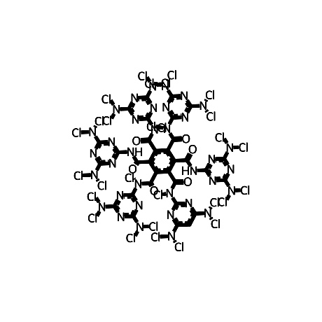 O=C(Nc1nc(N(Cl)Cl)nc(N(Cl)Cl)n1)c1c(C(=O)N(Cl)c2nc(N(Cl)Cl)cc(N(Cl)Cl)n2)c(C(=O)N(Cl)c2nc(N(Cl)Cl)nc(N(Cl)Cl)n2)c(C(=O)Nc2nc(N(Cl)Cl)nc(N(Cl)Cl)n2)c(C(=O)N(Cl)c2nc(N(Cl)Cl)nc(N(Cl)Cl)n2)c1C(=O)N(Cl)c1nc(N(Cl)Cl)nc(N(Cl)Cl)n1